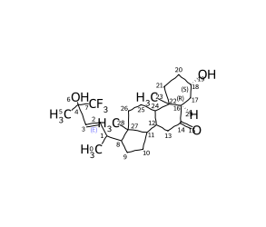 CC(/C=C/C(C)(O)C(F)(F)F)C1CCC2C3CC(=O)[C@@H]4C[C@@H](O)CCC4(C)C3CCC12C